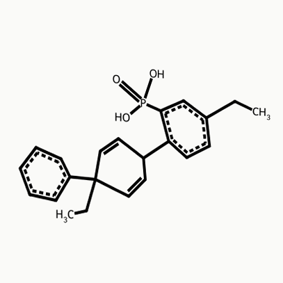 CCc1ccc(C2C=CC(CC)(c3ccccc3)C=C2)c(P(=O)(O)O)c1